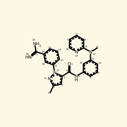 Cc1cc(C(=O)Nc2cccc(N(C)c3ccccn3)c2)n(-c2cccc(C(=N)N)c2)n1